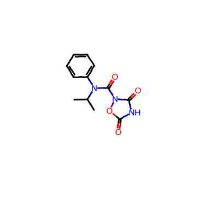 CC(C)N(C(=O)n1oc(=O)[nH]c1=O)c1ccccc1